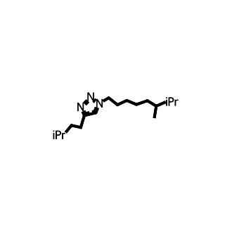 CC(C)CCc1cn(CCCCCC(C)C(C)C)nn1